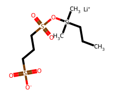 CCC[Si](C)(C)OS(=O)(=O)CCCS(=O)(=O)[O-].[Li+]